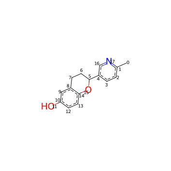 Cc1ccc(C2CCc3cc(O)ccc3O2)cn1